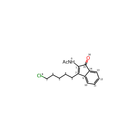 CC(=O)NC1=C(CCCCCCl)c2ccccc2C1=O